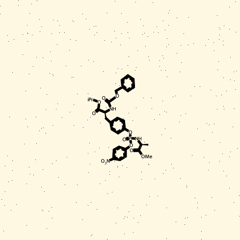 COC(=O)[C@H](C)NP(=O)(Oc1ccc(C[C@H](NC(=O)OCc2ccccc2)C(=O)OC(C)C)cc1)Oc1ccc([N+](=O)[O-])cc1